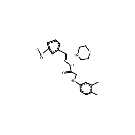 C1COCCN1.Cc1ccc(NCC(=O)NN=Cc2cccc([N+](=O)[O-])c2)cc1C